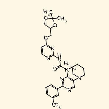 CC1(C)OCC(COc2ccnc(NC(=O)N3c4nc(-c5cccc(C(F)(F)F)c5)ncc4N4CCC[C@H]3C4)n2)O1